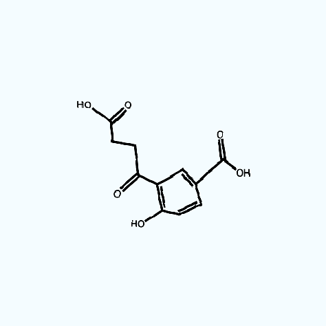 O=C(O)CCC(=O)c1cc(C(=O)O)ccc1O